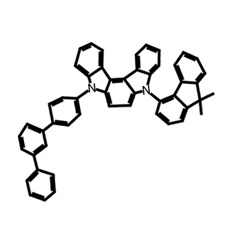 CC1(C)c2ccccc2-c2c(-n3c4ccccc4c4c5c6ccccc6n(-c6ccc(-c7cccc(-c8ccccc8)c7)cc6)c5ccc43)cccc21